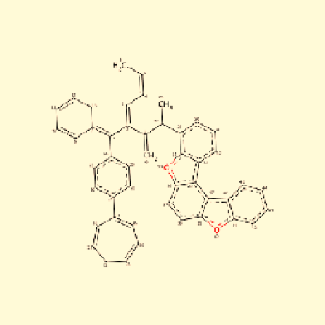 C=C(C(=C\C=C/C)/C(=C1/C=CC=CC1)c1ccc(C2=CC=CCC=C2)cc1)C(C)c1cccc2c1oc1ccc3oc4ccccc4c3c12